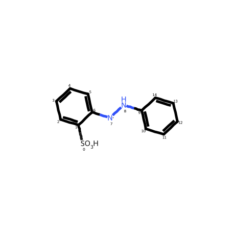 O=S(=O)(O)c1ccccc1[N]Nc1ccccc1